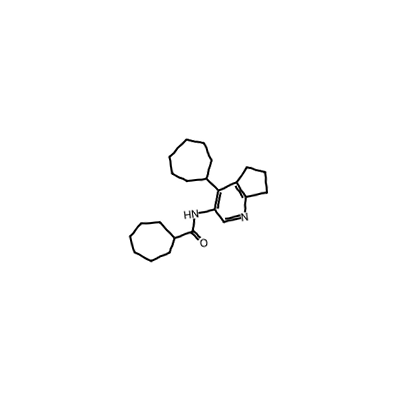 O=C(Nc1cnc2c(c1C1CCCCCC1)CCC2)C1CCCCCC1